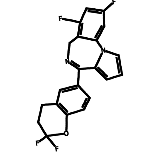 Fc1cc(F)c2c(c1)-n1cccc1C(c1ccc3c(c1)CCC(F)(F)O3)=NC2